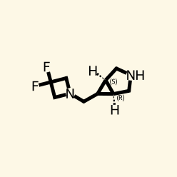 FC1(F)CN(CC2[C@H]3CNC[C@@H]23)C1